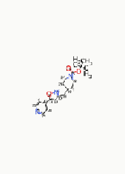 CC(C)(C)OC(=O)N1CCC(Cc2cc(-c3ccncc3)on2)CC1